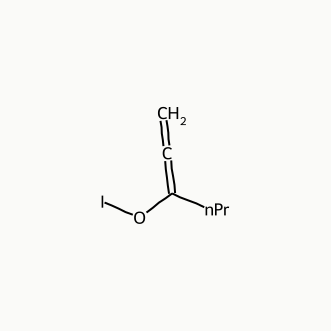 C=C=C(CCC)OI